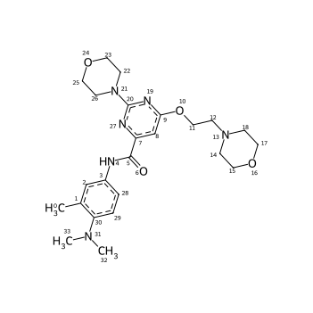 Cc1cc(NC(=O)c2cc(OCCN3CCOCC3)nc(N3CCOCC3)n2)ccc1N(C)C